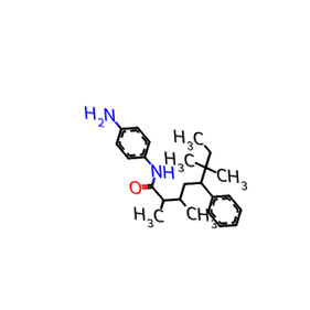 CCC(C)(C)C(CC(C)C(C)C(=O)Nc1ccc(N)cc1)c1ccccc1